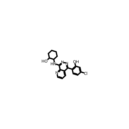 Oc1cc(Cl)ccc1-c1nnc(NC2CCCCC2O)c2ncccc12